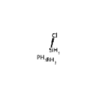 B.P.[SiH3]Cl